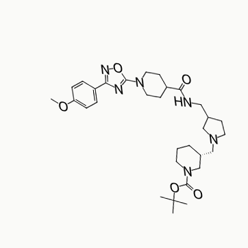 COc1ccc(-c2noc(N3CCC(C(=O)NCC4CCN(C[C@H]5CCCN(C(=O)OC(C)(C)C)C5)C4)CC3)n2)cc1